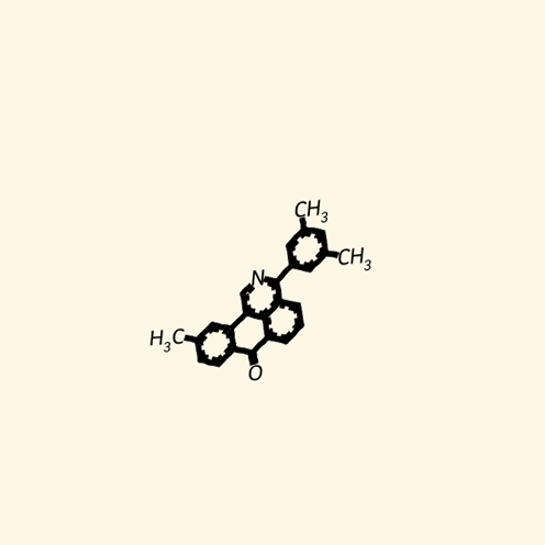 Cc1cc(C)cc(-c2ncc3c4c(cccc24)C(=O)c2ccc(C)cc2-3)c1